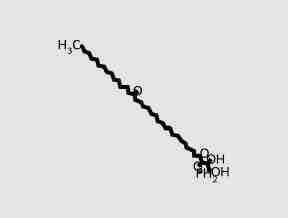 CCCCCCCCCCCCCCCC(=O)CCCCCCCCC=CCCCCCCCC(=O)C(OP)C(O)CO